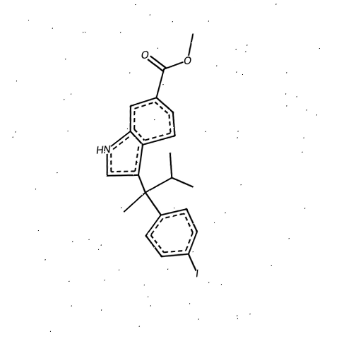 COC(=O)c1ccc2c(C(C)(c3ccc(I)cc3)C(C)C)c[nH]c2c1